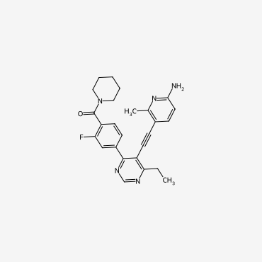 CCc1ncnc(-c2ccc(C(=O)N3CCCCC3)c(F)c2)c1C#Cc1ccc(N)nc1C